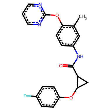 Cc1cc(NC(=O)C2CC2Oc2ccc(F)cc2)ccc1Oc1ncccn1